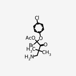 CC(=O)OC(Br)(Oc1ccc(Cl)cc1)C(=O)C(C)(C)CN